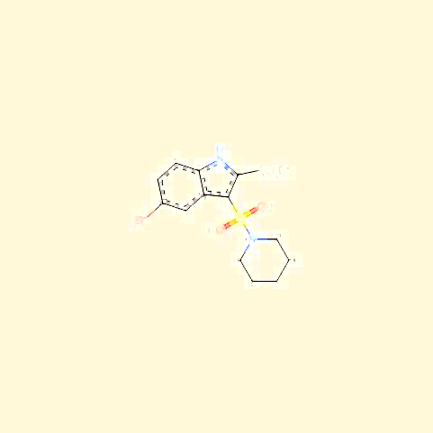 CCOC(=O)c1[nH]c2ccc(Br)cc2c1S(=O)(=O)N1CCCCC1